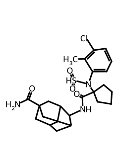 Cc1c(Cl)cccc1N([SH](=O)=O)C1(C(=O)NC2C3CC4CC2CC(C(N)=O)(C4)C3)CCCC1